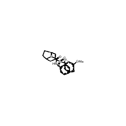 COc1cccc(S(=O)(=O)C2CC3CCC(C2)N3C(=O)Nc2ccccc2C(F)(F)F)c1